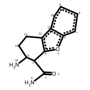 NC(=O)C1c2oc3ccccc3c2CCC1N